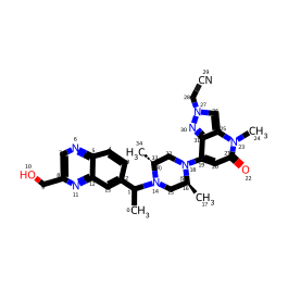 CC(c1ccc2ncc(CO)nc2c1)N1C[C@H](C)N(c2cc(=O)n(C)c3cn(CC#N)nc23)C[C@H]1C